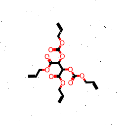 C=CCOC(=O)OC(C(=O)OCC=C)C(OC(=O)OCC=C)C(=O)OCC=C